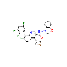 O=C(NN1CCOc2ccccc21)c1cnc2c(-c3cc(F)cc(F)c3F)c(F)ccc2c1C1CSC1